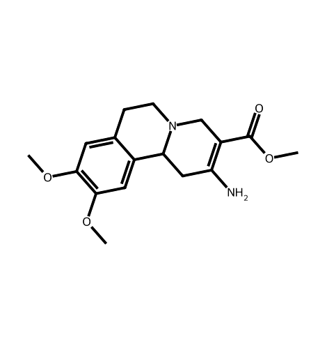 COC(=O)C1=C(N)CC2c3cc(OC)c(OC)cc3CCN2C1